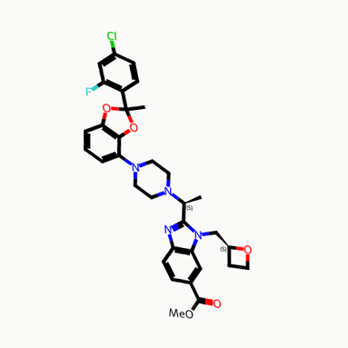 COC(=O)c1ccc2nc([C@H](C)N3CCN(c4cccc5c4OC(C)(c4ccc(Cl)cc4F)O5)CC3)n(C[C@@H]3CCO3)c2c1